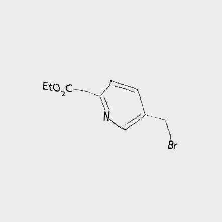 CCOC(=O)c1ccc(CBr)cn1